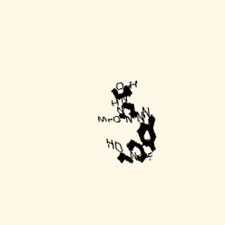 COc1nc(N2C[C@@H]3C[C@H]2CO3)cc(-n2ncc3cc(C)c([C@H]4CCN(CC(C)O)C[C@H]4F)cc32)n1